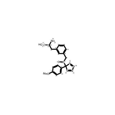 COc1ccc(C2([S+]([O-])Cc3cccc(C[C@H](N)C(=O)O)c3)N=NN=N2)cc1